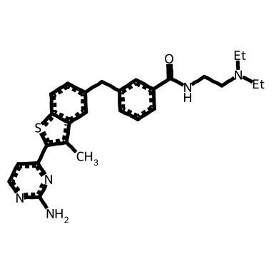 CCN(CC)CCNC(=O)c1cccc(Cc2ccc3sc(-c4ccnc(N)n4)c(C)c3c2)c1